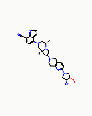 CO[C@@H]1CN(c2ccc3c(n2)CCN([C@H]2C[C@H]4CN(c5ccc(C#N)c6ncccc56)C[C@@H](C)N4C2)C3)C[C@H]1N